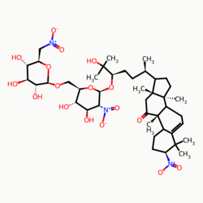 C[C@H](CC[C@@H](O[C@@H]1O[C@H](CO[C@@H]2O[C@H](C[N+](=O)[O-])[C@@H](O)[C@H](O)[C@H]2O)[C@@H](O)[C@H](O)[C@H]1[N+](=O)[O-])C(C)(C)O)C1CC[C@@]2(C)C3CC=C4C(CC[C@H]([N+](=O)[O-])C4(C)C)[C@]3(C)C(=O)C[C@]12C